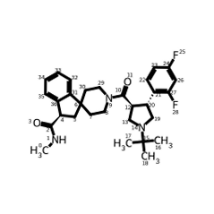 CNC(=O)[C@@H]1CC2(CCN(C(=O)[C@@H]3CN(C(C)(C)C)C[C@H]3c3ccc(F)cc3F)CC2)c2ccccc21